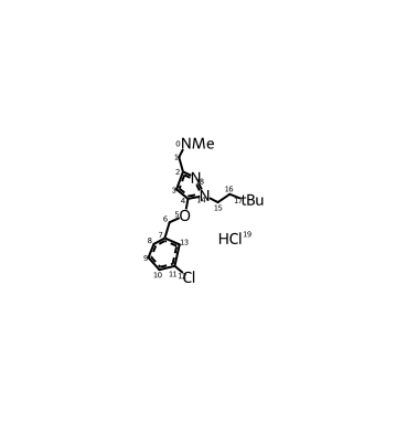 CNCc1cc(OCc2cccc(Cl)c2)n(CCC(C)(C)C)n1.Cl